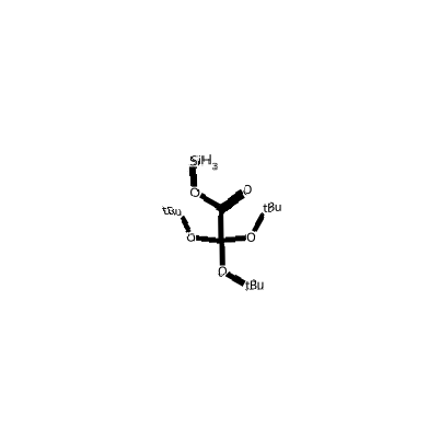 CC(C)(C)OC(OC(C)(C)C)(OC(C)(C)C)C(=O)O[SiH3]